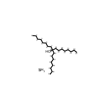 CCCCCCCCC(O)(CCCCCCCC)CCCCCCCC.N